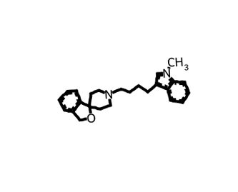 Cn1cc(CCCCN2CCC3(CC2)OCc2ccccc23)c2ccccc21